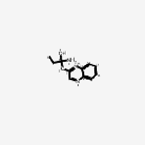 CCC(N)(O)Oc1cnc2ccccc2n1